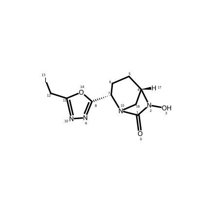 O=C1N(O)[C@H]2CC[C@@H](c3nnc(CI)o3)N1C2